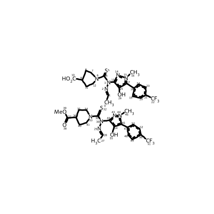 CC=NN(C(=S)N1CCC(C(=O)O)CC1)c1nn(C)c(-c2ccc(C(F)(F)F)cc2)c1O.CC=NN(C(=S)N1CCC(C(=O)OC)CC1)c1nn(C)c(-c2ccc(C(F)(F)F)cc2)c1O